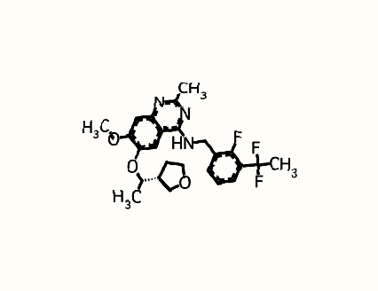 COc1cc2nc(C)nc(NCc3cccc(C(C)(F)F)c3F)c2cc1OC(C)[C@@H]1CCOC1